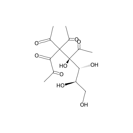 CC(=O)C(=O)C(C(C)=O)(C(C)=O)[C@](O)(C(C)=O)[C@H](O)[C@H](O)CO